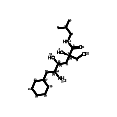 CC(C)CNC(=O)[C@](O)(CCl)C[C@H](O)[C@@H](N)CC1CCCCC1